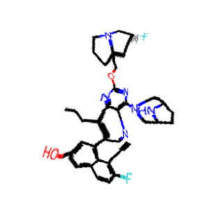 C#Cc1c(F)ccc2cc(O)cc(-c3cnc4c(N5CC6CCC(C5)N6)nc(OCC56CCCN5C[C@H](F)C6)nc4c3CCC)c12